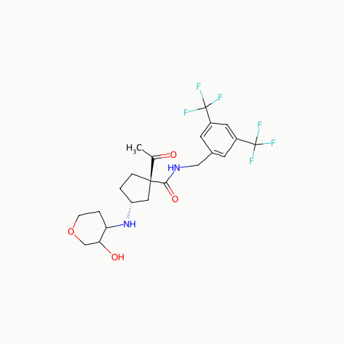 CC(=O)[C@]1(C(=O)NCc2cc(C(F)(F)F)cc(C(F)(F)F)c2)CC[C@@H](NC2CCOCC2O)C1